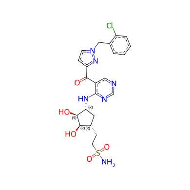 NS(=O)(=O)CC[C@H]1C[C@@H](Nc2ncncc2C(=O)c2ccn(Cc3ccccc3Cl)n2)[C@H](O)[C@@H]1O